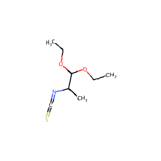 CCOC(OCC)C(C)N=C=S